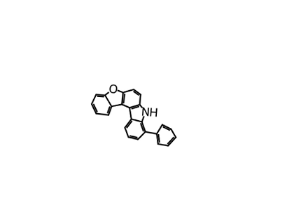 c1ccc(-c2cccc3c2[nH]c2ccc4oc5ccccc5c4c23)cc1